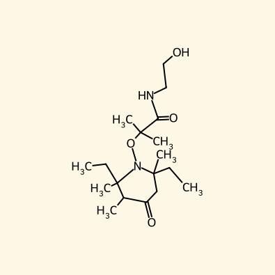 CCC1(C)CC(=O)C(C)C(C)(CC)N1OC(C)(C)C(=O)NCCO